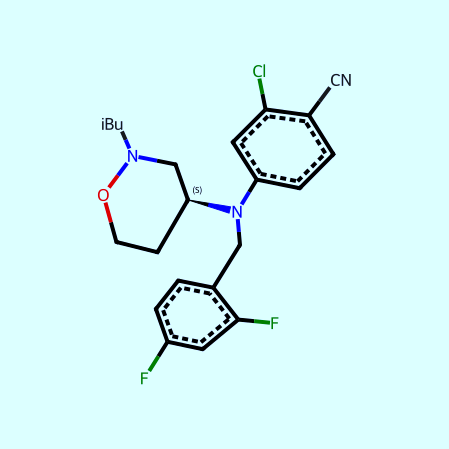 CCC(C)N1C[C@@H](N(Cc2ccc(F)cc2F)c2ccc(C#N)c(Cl)c2)CCO1